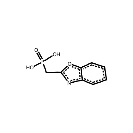 O=P(O)(O)Cc1nc2ccccc2o1